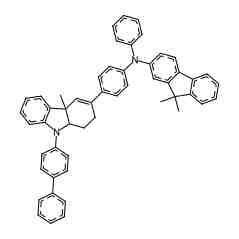 CC1(C)c2ccccc2-c2ccc(N(c3ccccc3)c3ccc(C4=CC5(C)c6ccccc6N(c6ccc(-c7ccccc7)cc6)C5CC4)cc3)cc21